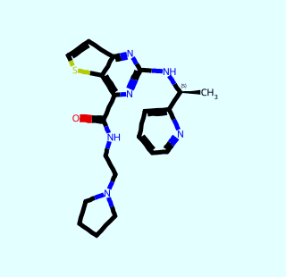 C[C@H](Nc1nc(C(=O)NCCN2CCCC2)c2sccc2n1)c1ccccn1